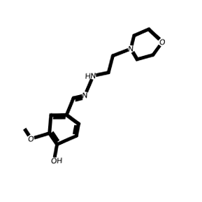 COc1cc(C=NNCCN2CCOCC2)ccc1O